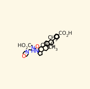 CC1C(c2ccc(C(=O)O)cc2)=CCC2(C)C1CCC1(C)C2CCC2C3CCCC3(NC(=O)N(CCN3CCOCC3)CC(=O)O)CC[C@]21C